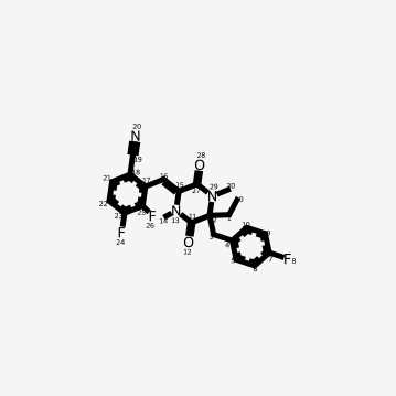 CCC1(Cc2ccc(F)cc2)C(=O)N(C)C(=Cc2c(C#N)ccc(F)c2F)C(=O)N1C